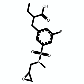 CCC(Cc1cc(F)cc(S(=O)(=O)N(C)CC2CO2)c1)C(=O)O